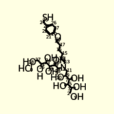 Cl.OCC(O)C(O)C(O)C(O)CN(CCCCCCOc1ccc(CS)cc1)CC(O)C(O)C(O)C(O)CO